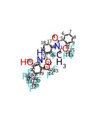 CCN(C(=O)c1ccccc1OC(F)(F)F)c1cccc(C(=O)Nc2c(O)cc(C(F)(C(F)(F)F)C(F)(F)F)cc2OC(F)F)c1F